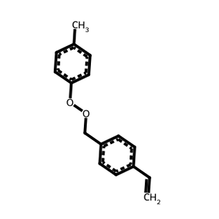 C=Cc1ccc(COOc2ccc(C)cc2)cc1